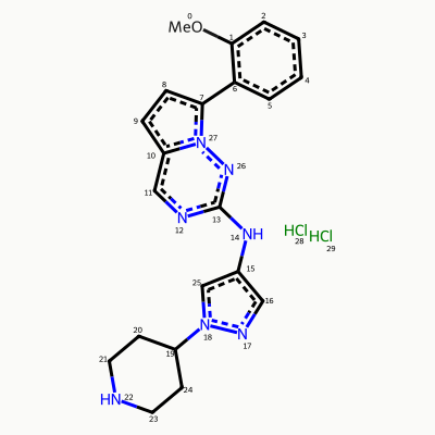 COc1ccccc1-c1ccc2cnc(Nc3cnn(C4CCNCC4)c3)nn12.Cl.Cl